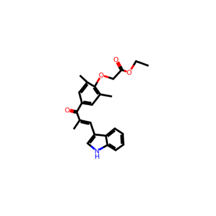 CCOC(=O)COc1c(C)cc(C(=O)/C(C)=C/c2c[nH]c3ccccc23)cc1C